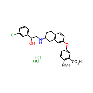 CNc1ccc(Oc2ccc3c(c2)C[C@@H](NC[C@@H](O)c2cccc(Cl)c2)CC3)cc1C(=O)O.Cl.Cl